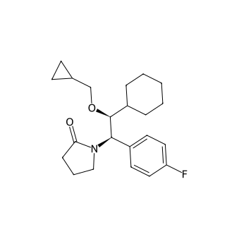 O=C1CCCN1[C@H](c1ccc(F)cc1)[C@@H](OCC1CC1)C1CCCCC1